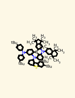 Cc1cc2c(cc1N1c3cc4c(cc3B3c5ccc(N(c6ccc(C(C)(C)C)cc6)c6ccc(C(C)(C)C)cc6)cc5N(c5cccc6sc7cc(C(C)(C)C)ccc7c56)c5cc(C(C)(C)C)cc1c53)C(C)(C)CC4(C)C)C(C)(C)CCC2(C)C